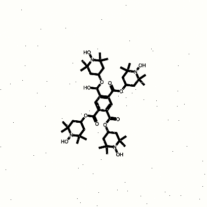 CC1(C)CC(OC(=O)c2cc(C(=O)OC3CC(C)(C)N(O)C(C)(C)C3)c(C(O)OC3CC(C)(C)N(O)C(C)(C)C3)cc2C(=O)OC2CC(C)(C)N(O)C(C)(C)C2)CC(C)(C)N1O